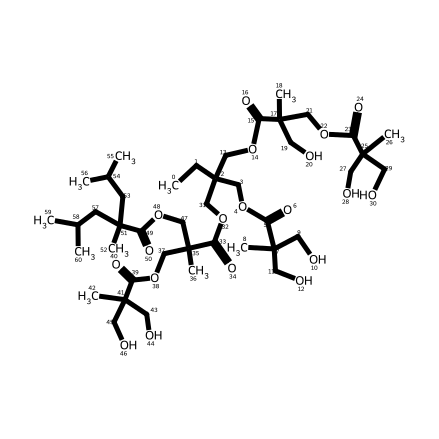 CCC(COC(=O)C(C)(CO)CO)(COC(=O)C(C)(CO)COC(=O)C(C)(CO)CO)COC(=O)C(C)(COC(=O)C(C)(CO)CO)COC(=O)C(C)(CC(C)C)CC(C)C